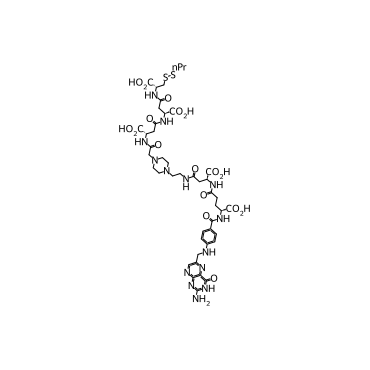 CCCSSC[C@H](NC(=O)C[C@H](NC(=O)C[C@H](NC(=O)CN1CCN(CCNC(=O)C[C@H](NC(=O)CC[C@H](NC(=O)c2ccc(NCc3cnc4nc(N)[nH]c(=O)c4n3)cc2)C(=O)O)C(=O)O)CC1)C(=O)O)C(=O)O)C(=O)O